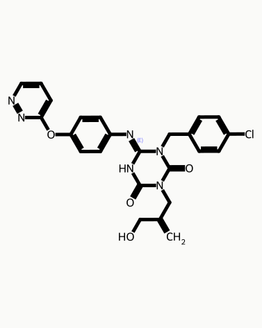 C=C(CO)Cn1c(=O)[nH]/c(=N\c2ccc(Oc3cccnn3)cc2)n(Cc2ccc(Cl)cc2)c1=O